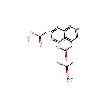 CC(=O)[O-].CC(=O)[O-].CC(=O)[O-].[Co+2].[K+].c1ccc2cnccc2c1